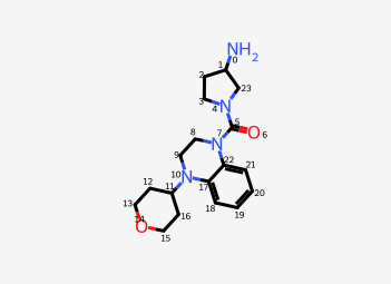 NC1CCN(C(=O)N2CCN(C3CCOCC3)c3ccccc32)C1